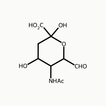 CC(=O)NC1C(O)CC(O)(C(=O)O)OC1C=O